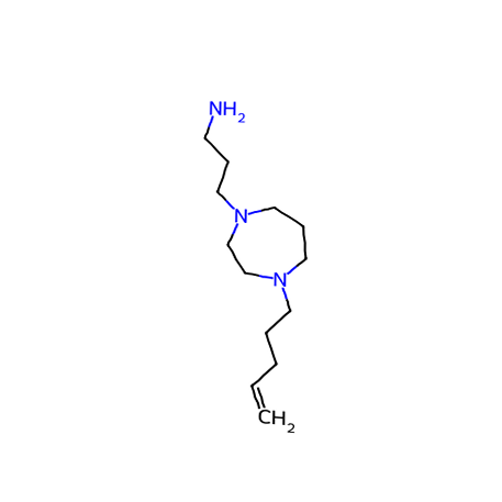 C=CCCCN1CCCN(CCCN)CC1